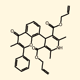 C=CCOC(=O)C1=C(C)NC(C)=C(C(=O)OCC=C)C1c1cccc2c(=O)c(C)c(-c3ccccc3)oc12